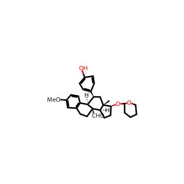 COc1ccc2c(c1)CC[C@@]1(C=O)[C@@H]3CC[C@H](OC4CCCCO4)[C@@]3(C)C[C@H](c3ccc(O)cc3)[C@H]21